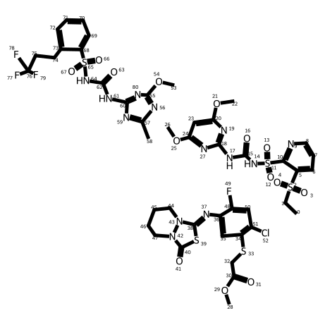 CCS(=O)(=O)c1cccnc1S(=O)(=O)NC(=O)Nc1nc(OC)cc(OC)n1.COC(=O)CSc1cc(/N=c2\sc(=O)n3n2CCCC3)c(F)cc1Cl.COc1nc(C)nc(NC(=O)NS(=O)(=O)c2ccccc2CCC(F)(F)F)n1